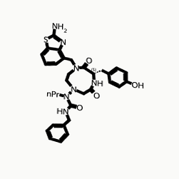 CCCN(C(=O)NCc1ccccc1)N1CCN(Cc2cccc3sc(N)nc23)C(=O)[C@H](Cc2ccc(O)cc2)NC(=O)C1